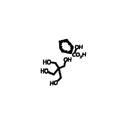 O=C(O)O.OCC(CO)(CO)CO.c1ccccc1